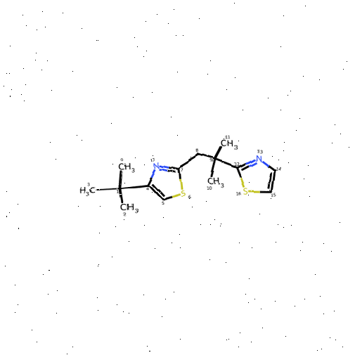 CC(C)(C)c1csc(CC(C)(C)c2nccs2)n1